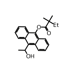 CCC(C)(C)C(=O)Oc1c2ccccc2c(C(C)O)c2ccccc12